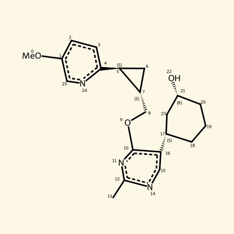 COc1ccc([C@H]2C[C@@H]2COc2nc(C)ncc2[C@H]2CCC[C@@H](O)C2)nc1